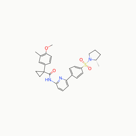 COc1ccc(C2(C(=O)Nc3cccc(-c4ccc(S(=O)(=O)N5CCC[C@@H]5C)cc4)n3)CC2)cc1C